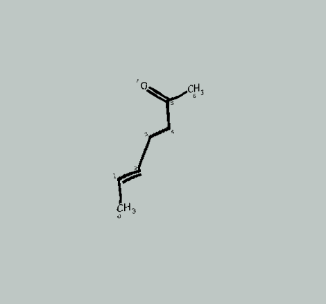 CC=CCCC(C)=O